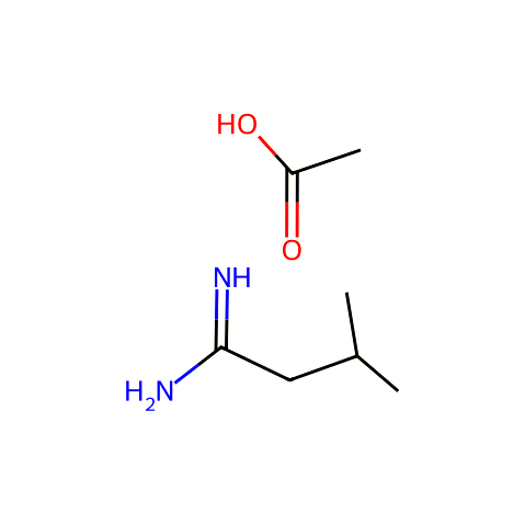 CC(=O)O.CC(C)CC(=N)N